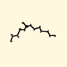 CCCCCCCN(C)CCCCC